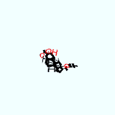 COC(C)[C@@]1(O)CC[C@H]2[C@H](CC[C@@H]3[C@@H]2CC[C@]2(C)[C@@H](C(C)O[Si](C)(C)C(C)(C)C)CC[C@@H]32)C1